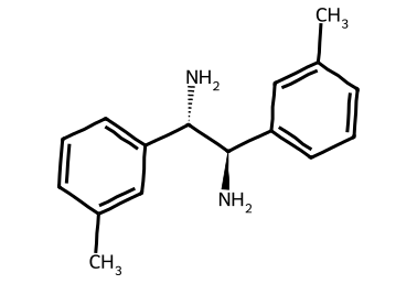 Cc1cccc([C@@H](N)[C@@H](N)c2cccc(C)c2)c1